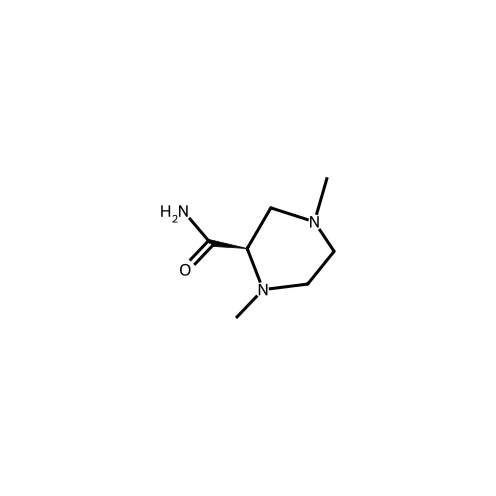 CN1CCN(C)[C@@H](C(N)=O)C1